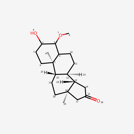 COC1C(O)CC[C@@]2(C)C1CC[C@H]1[C@@H]3CC(=O)C[C@@]3(C)CC[C@@H]12